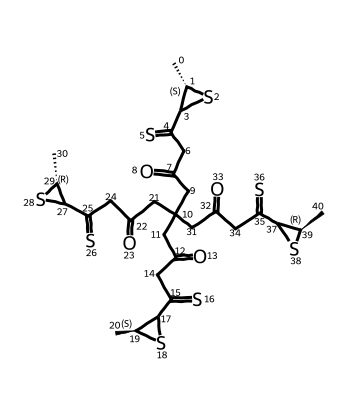 C[C@@H]1SC1C(=S)CC(=O)CC(CC(=O)CC(=S)C1S[C@H]1C)(CC(=O)CC(=S)C1S[C@@H]1C)CC(=O)CC(=S)C1S[C@@H]1C